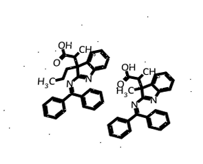 CC(C(=O)O)C1(C)C(N=C(c2ccccc2)c2ccccc2)=Nc2ccccc21.CCCC1(C(C)C(=O)O)C(N=C(c2ccccc2)c2ccccc2)=Nc2ccccc21